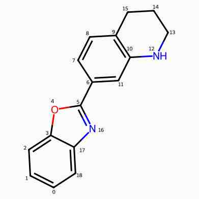 c1ccc2oc(-c3ccc4c(c3)NCCC4)nc2c1